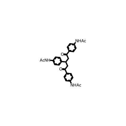 CC(=O)Nc1ccc(C(=O)CC(CC(=O)c2ccc(NC(C)=O)cc2)c2ccc(NC(C)=O)cc2)cc1